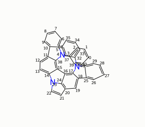 c1ccc(-n2c3ccccc3c3ccc4c(c5c6c(cc7ccn4c75)c4ccccc4n6-c4ccccc4)c32)cc1